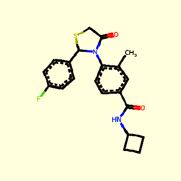 Cc1cc(C(=O)NC2CCC2)ccc1N1C(=O)CSC1c1ccc(F)cc1